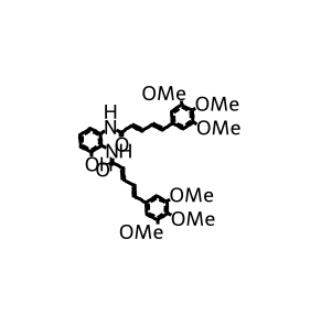 COc1cc(/C=C/C=C/C(=O)Nc2cccc(O)c2NC(=O)/C=C/C=C/c2cc(OC)c(OC)c(OC)c2)cc(OC)c1OC